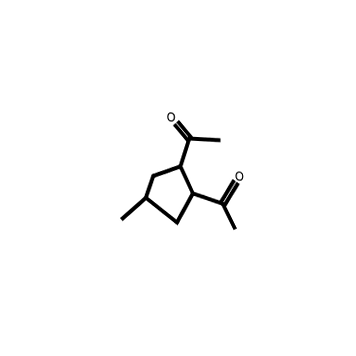 CC(=O)C1CC(C)CC1C(C)=O